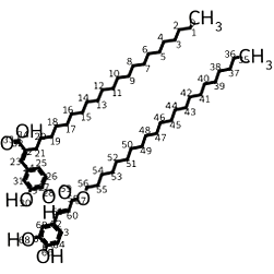 CCCCCCCCCCCCCCCCCCCCCC/C(=C\c1ccc(O)c(O)c1)C(=O)O.CCCCCCCCCCCCCCCCCCCCCCOC(=O)/C=C/c1ccc(O)c(O)c1